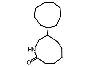 O=C1CCCCCC(C2CCCCCCCC2)CN1